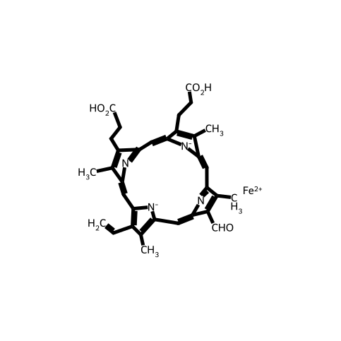 C=Cc1c(C)c2cc3nc(cc4[n-]c(cc5nc(cc1[n-]2)C(C)=C5CCC(=O)O)c(CCC(=O)O)c4C)C(C)=C3C=O.[Fe+2]